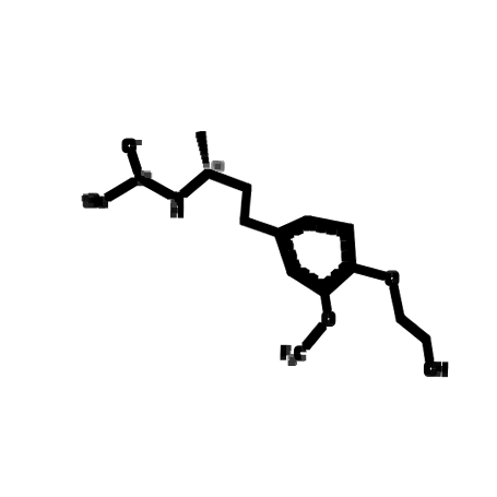 C[C@H](CCc1ccc(OCCO)c(OC(F)(F)F)c1)N[S+]([O-])C(C)(C)C